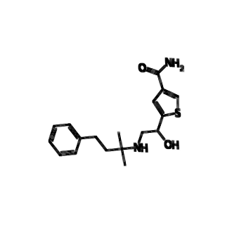 CC(C)(CCc1ccccc1)NCC(O)c1cc(C(N)=O)cs1